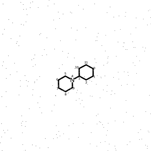 C1CCC(N2CCCCC2)CC1